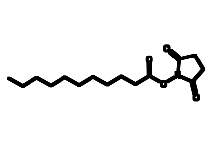 CCCCCCCCCCC(=O)ON1C(=O)CCC1=O